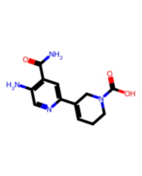 NC(=O)c1cc(C2=CCCN(C(=O)O)C2)ncc1N